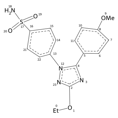 CCOc1nc(-c2ccc(OC)cc2)n(-c2ccc(S(N)(=O)=O)cc2)n1